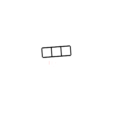 C12C3C4C1C1C2C3C41.O